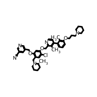 Cc1c(OCCCN2CCCCC2)cccc1-c1ccnc(COc2cc(OCc3cncc(C#N)c3)c(CN3CCCC[C@H]3C)cc2Cl)c1C